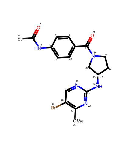 CCC(=O)Nc1ccc(C(=O)N2CC[C@@H](Nc3ncc(Br)c(OC)n3)C2)cc1